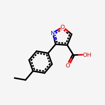 CCc1ccc(-c2nocc2C(=O)O)cc1